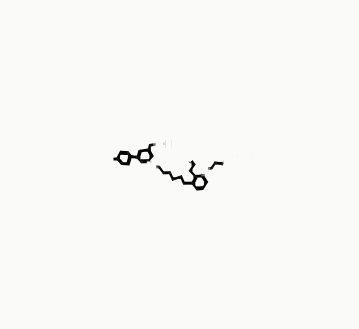 O=C(O)CCCOc1cccc(CCCCCCOc2cc(CO)cc(-c3ccc(F)cc3)c2)c1CCC(=O)O